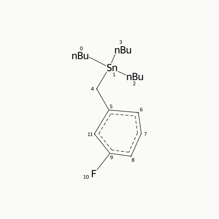 CCC[CH2][Sn]([CH2]CCC)([CH2]CCC)[CH2]c1cccc(F)c1